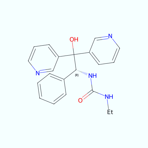 CCNC(=O)N[C@H](c1ccccc1)C(O)(c1cccnc1)c1cccnc1